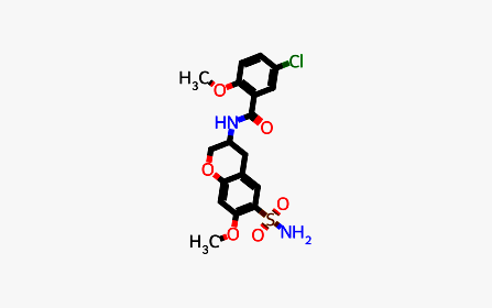 COc1ccc(Cl)cc1C(=O)NC1COc2cc(OC)c(S(N)(=O)=O)cc2C1